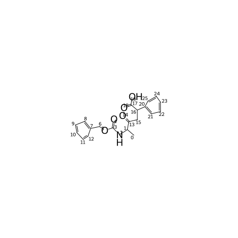 CC(NC(=O)OCc1ccccc1)C(=O)CC(C(=O)O)c1ccccc1